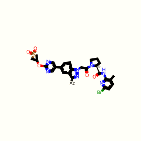 CC(=O)c1nn(CC(=O)N2CCC[C@H]2C(=O)Nc2nc(Br)ccc2C)c2ccc(-c3cnc(OC4CS(=O)(=O)C4)nc3)cc12